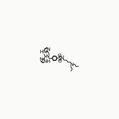 CCCN(CCC)CCCCN(C)S(=O)(=O)c1ccc(CN(Cc2ncc[nH]2)C(C)c2ncc[nH]2)cc1